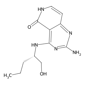 CCC[C@@H](CO)Nc1nc(N)nc2cc[nH]c(=O)c12